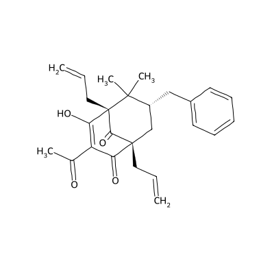 C=CC[C@]12C[C@@H](Cc3ccccc3)C(C)(C)[C@](CC=C)(C1=O)C(O)=C(C(C)=O)C2=O